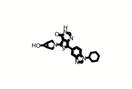 O=c1[nH]cnc2c(-c3ccc4c(c3)ncn4C3CCCCC3)sc(N3CC4C(O)C4C3)c12